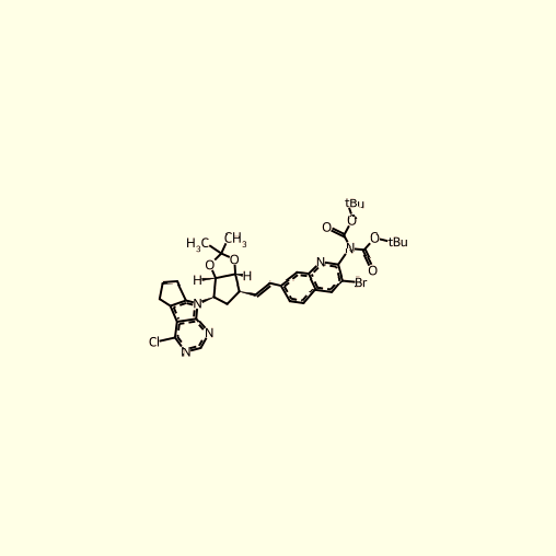 CC(C)(C)OC(=O)N(C(=O)OC(C)(C)C)c1nc2cc(/C=C/[C@H]3C[C@@H](n4c5c(c6c(Cl)ncnc64)CCC5)[C@@H]4OC(C)(C)O[C@@H]43)ccc2cc1Br